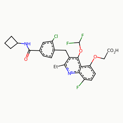 CCc1nc2c(F)ccc(OCC(=O)O)c2c(OC(F)F)c1Cc1ccc(C(=O)NC2CCC2)cc1Cl